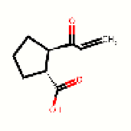 C=CC(=O)[C@@H]1CCC[C@H]1C(=O)O